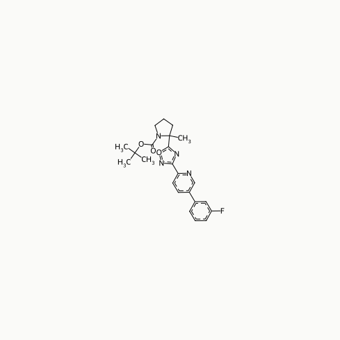 CC(C)(C)OC(=O)N1CCCC1(C)c1nc(-c2ccc(-c3cccc(F)c3)cn2)no1